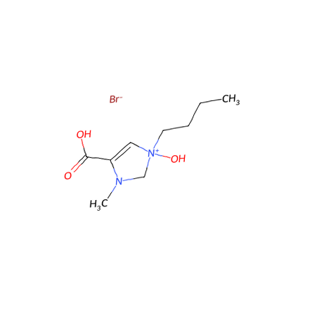 CCCC[N+]1(O)C=C(C(=O)O)N(C)C1.[Br-]